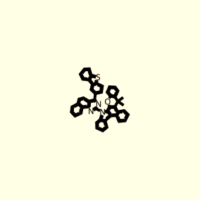 CC1(C)c2ccccc2Oc2c1c1ccccc1c1c3ccccc3n(-c3nc(-c4ccc5sc6ccccc6c5c4)c4ccc5ccccc5c4n3)c21